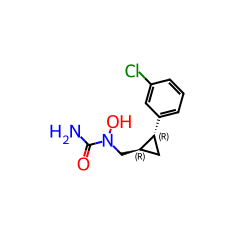 NC(=O)N(O)C[C@@H]1C[C@H]1c1cccc(Cl)c1